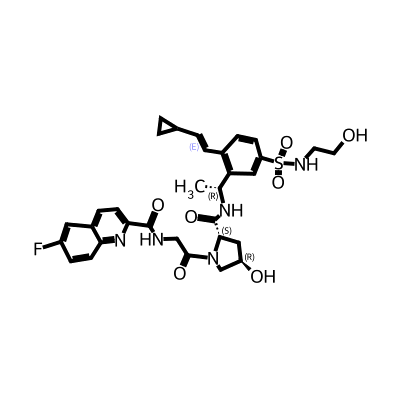 C[C@@H](NC(=O)[C@@H]1C[C@@H](O)CN1C(=O)CNC(=O)c1ccc2cc(F)ccc2n1)c1cc(S(=O)(=O)NCCO)ccc1/C=C/C1CC1